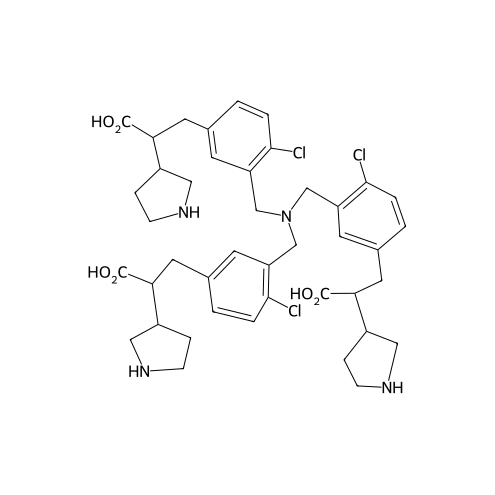 O=C(O)C(Cc1ccc(Cl)c(CN(Cc2cc(CC(C(=O)O)C3CCNC3)ccc2Cl)Cc2cc(CC(C(=O)O)C3CCNC3)ccc2Cl)c1)C1CCNC1